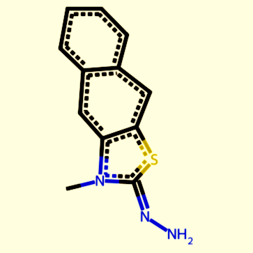 Cn1/c(=N/N)sc2cc3ccccc3cc21